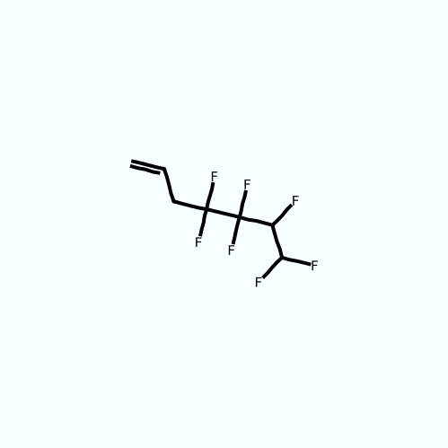 C=CCC(F)(F)C(F)(F)C(F)C(F)F